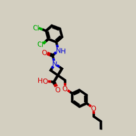 CCCOc1ccc(OCC2(C(=O)O)CN(C(=O)Nc3cccc(Cl)c3Cl)C2)cc1